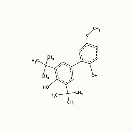 CSc1ccc(O)c(-c2cc(C(C)(C)C)c(O)c(C(C)(C)C)c2)c1